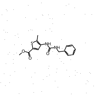 COC(=O)c1cc(NC(=O)NCc2ccccc2)c(C)s1